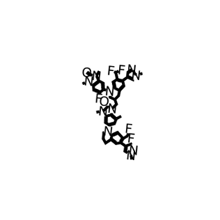 Cc1cc(N2CCCc3cc(-c4cnn(C)c4)c(C(F)F)cc32)cc2c1n(CC1Cc3cc(-c4cnn(C)c4)c(C(F)F)cc3N(c3cc4c(cc3F)n(C)c(=O)n4C)C1)c(=O)n2C